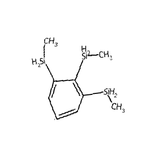 C[SiH2]c1c[c]cc([SiH2]C)c1[SiH2]C